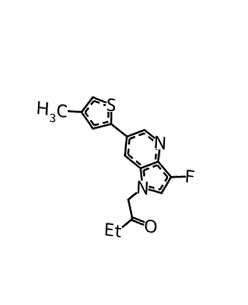 CCC(=O)Cn1cc(F)c2ncc(-c3cc(C)cs3)cc21